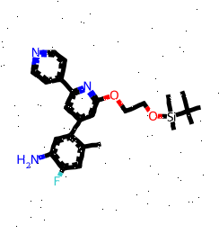 Cc1cc(F)c(N)cc1-c1cc(OCCO[Si](C)(C)C(C)(C)C)nc(-c2ccncc2)c1